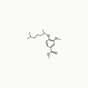 COC(=O)c1ccc(OC(C)CCCC(C)C)c(OC)c1